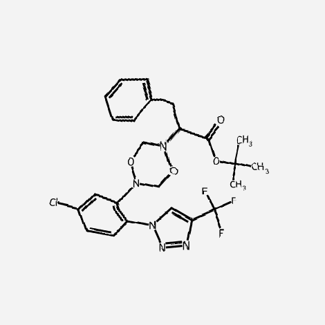 CC(C)(C)OC(=O)C(Cc1ccccc1)N1CON(c2cc(Cl)ccc2-n2cc(C(F)(F)F)nn2)CO1